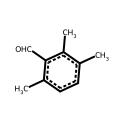 Cc1ccc(C)c(C=O)c1C